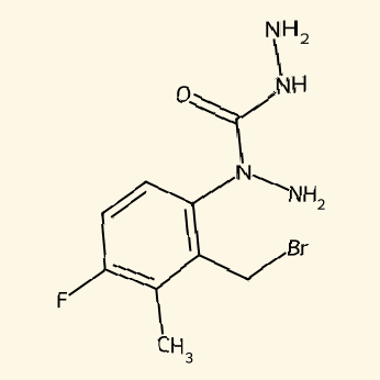 Cc1c(F)ccc(N(N)C(=O)NN)c1CBr